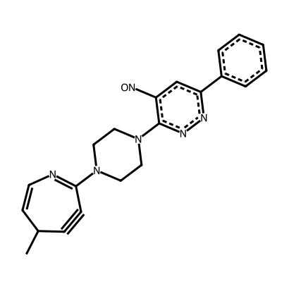 CC1C#CC(N2CCN(c3nnc(-c4ccccc4)cc3N=O)CC2)=NC=C1